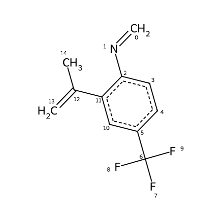 C=Nc1ccc(C(F)(F)F)cc1C(=C)C